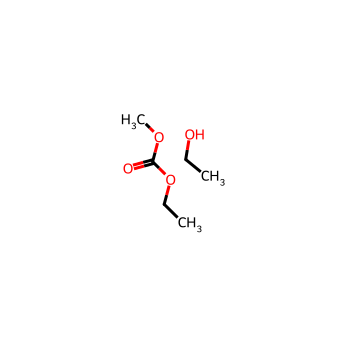 CCO.CCOC(=O)OC